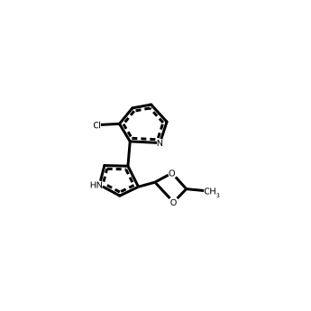 CC1OC(c2c[nH]cc2-c2ncccc2Cl)O1